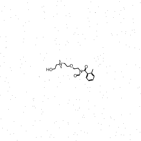 Cc1ccccc1C(=O)N(C=O)CCOCC[N+](C)(C)CCO